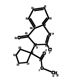 COC(=O)C1(n2c(Cl)nc3ccccc3c2=O)CCCC1